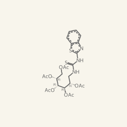 CC(=O)OC[C@@H](OC(C)=O)[C@@H](OC(C)=O)[C@H](OC(C)=O)[C@H](CNC(=S)Nc1nc2ccccc2s1)OC(C)=O